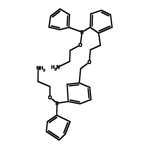 NCCOB(c1ccccc1)c1cccc(COCCc2ccccc2B(OCCN)c2ccccc2)c1